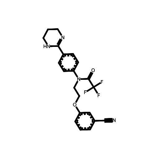 N#Cc1cccc(OCCN(C(=O)C(F)(F)F)c2ccc(C3=NCCCN3)cc2)c1